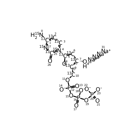 [15NH2][13c]1[13cH][13cH][15n]([13C@H]2[13CH2][13C@H](O)[13C@@H]([13CH2]OP(=O)([O-])OP(=O)([O-])OP(=O)([O-])[O-])O2)[13c](=O)[15n]1.[Na+].[Na+].[Na+].[Na+]